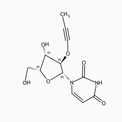 CC#CO[C@@H]1[C@@H](O)[C@@H](CO)O[C@H]1n1ccc(=O)[nH]c1=O